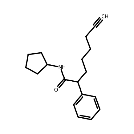 C#CCCCCC(C(=O)NC1CCCC1)c1ccccc1